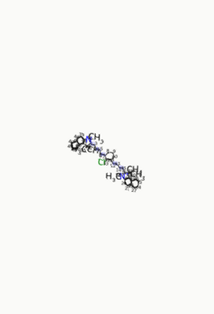 CN1/C(=C/C=C/C=C2\CCCC(/C=C/C=C/C3=[N+](C)c4ccc5ccccc5c4C3(C)C)=C2Cl)C(C)(C)c2c1ccc1ccccc21